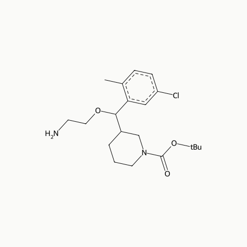 Cc1ccc(Cl)cc1C(OCCN)C1CCCN(C(=O)OC(C)(C)C)C1